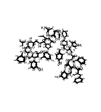 CC[C@H](C)[C@H](NC(=O)[C@H](CC(N)=O)NC(=O)[C@@H]1CCCN1C(=O)[C@H](Cc1c[nH]cn1)NC(=O)[C@H](Cc1ccc(O)cc1)NC(=O)[C@H](C)NC(=O)[C@H](Cc1ccccc1)NC(=O)[C@H](Cc1ccc(O)cc1)NC(=O)[C@@H](N)Cc1ccccc1)C(=O)N1CCC[C@H]1C(=O)NCC(=O)N[C@@H](CC(C)C)C(=O)N[C@@H](Cc1ccccc1)C(=O)N[C@@H](Cc1ccc(O)cc1)C(=O)N[C@@H](Cc1ccccc1)C(=O)O